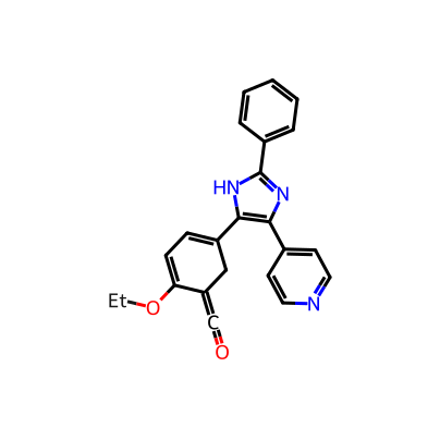 CCOC1=CC=C(c2[nH]c(-c3ccccc3)nc2-c2ccncc2)CC1=C=O